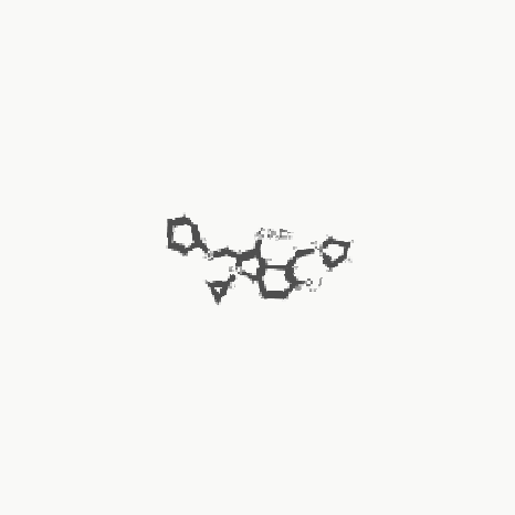 CCOC(=O)c1c(CSc2ccccc2)n(C2CC2)c2ccc(O)c(CN3CCCC3)c12